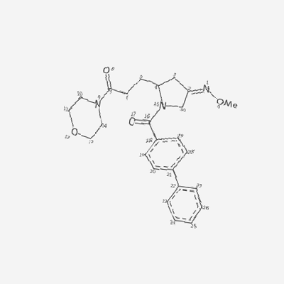 CON=C1CC(CCC(=O)N2CCOCC2)N(C(=O)c2ccc(-c3ccccc3)cc2)C1